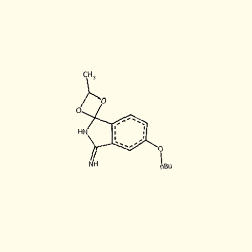 CCCCOc1ccc2c(c1)C(=N)NC21OC(C)O1